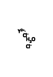 O.[Cl-].[Cl-].[Y+2]